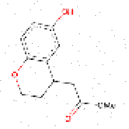 COC(=O)CC1CCOc2ccc(O)cc21